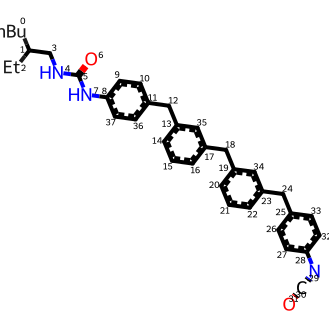 CCCCC(CC)CNC(=O)Nc1ccc(Cc2cccc(Cc3cccc(Cc4ccc(N=C=O)cc4)c3)c2)cc1